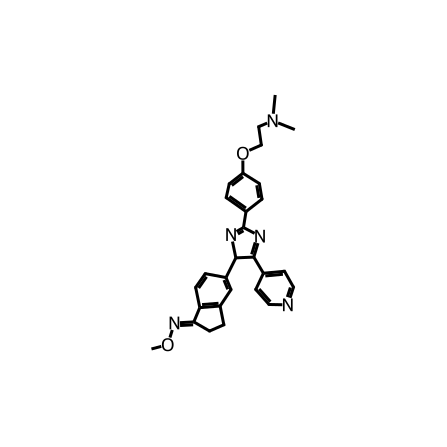 CON=C1CCc2cc(C3N=C(c4ccc(OCCN(C)C)cc4)N=C3c3ccncc3)ccc21